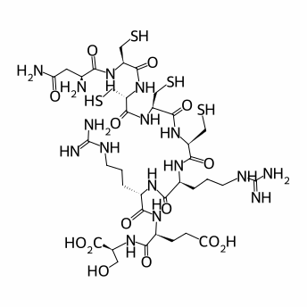 N=C(N)NCCC[C@H](NC(=O)[C@H](CCCNC(=N)N)NC(=O)[C@H](CS)NC(=O)[C@H](CS)NC(=O)[C@H](CS)NC(=O)[C@H](CS)NC(=O)[C@@H](N)CC(N)=O)C(=O)N[C@@H](CCC(=O)O)C(=O)N[C@@H](CO)C(=O)O